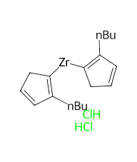 CCCCC1=[C]([Zr][C]2=C(CCCC)C=CC2)CC=C1.Cl.Cl